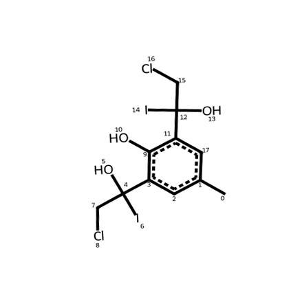 Cc1cc(C(O)(I)CCl)c(O)c(C(O)(I)CCl)c1